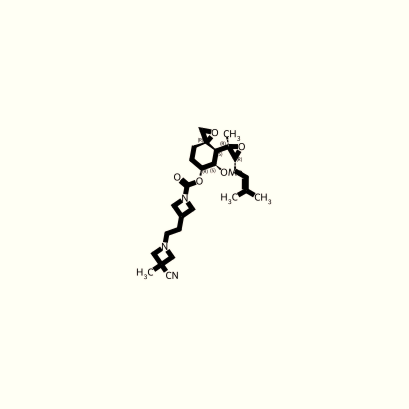 CO[C@@H]1[C@H](OC(=O)N2CC(CCN3CC(C)(C#N)C3)C2)CC[C@]2(CO2)[C@H]1[C@@]1(C)O[C@@H]1CC=C(C)C